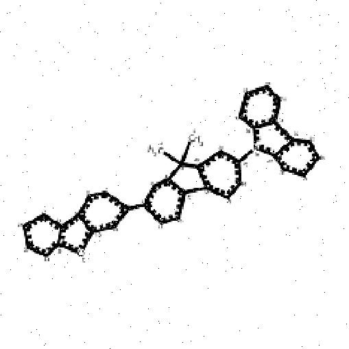 CC1(C)c2cc(-c3ccc4c(c3)oc3ccccc34)ccc2-c2ccc(-n3c4ccccc4c4ccccc43)cc21